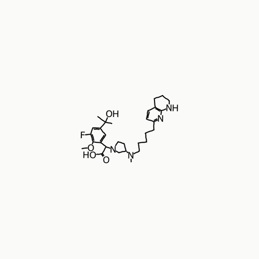 COc1c(F)cc(C(C)(C)O)cc1C(C(=O)O)N1CC[C@@H](N(C)CCCCCc2ccc3c(n2)NCCC3)C1